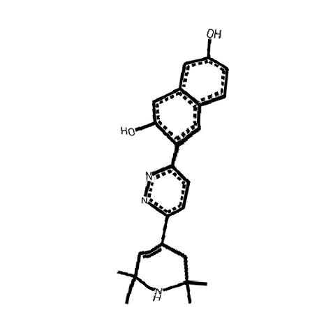 CC1(C)C=C(c2ccc(-c3cc4ccc(O)cc4cc3O)nn2)CC(C)(C)N1